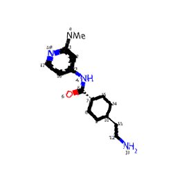 CNc1cc(NC(=O)[C@H]2CC[C@H](CCN)CC2)ccn1